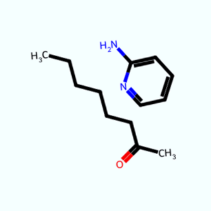 CCCCCCC(C)=O.Nc1ccccn1